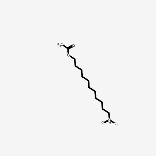 CC(=O)OCCCCCCCCCCC[SiH](Cl)Cl